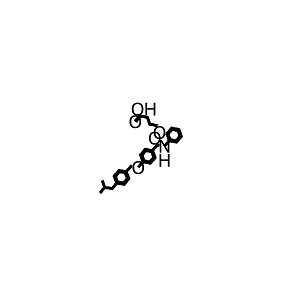 CC(C)Cc1ccc(COc2ccc(C(=O)Nc3ccccc3OCCCC(=O)O)cc2)cc1